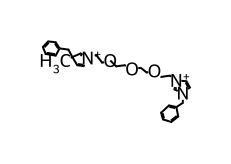 CC1(Cc2ccccc2)C=C[N+](CCOCCOCCOCC[n+]2ccn(Cc3ccccc3)c2)=C1